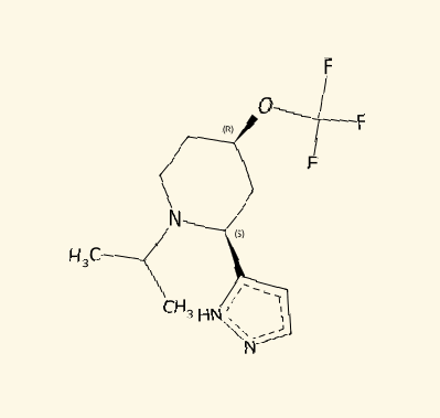 CC(C)N1CC[C@@H](OC(F)(F)F)C[C@H]1c1ccn[nH]1